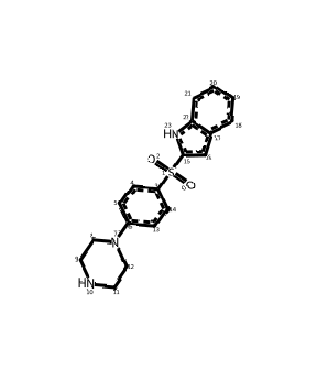 O=S(=O)(c1ccc(N2CCNCC2)cc1)c1cc2ccccc2[nH]1